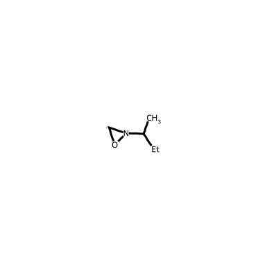 CCC(C)N1[CH]O1